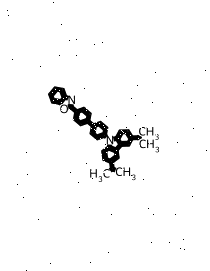 CC(C)c1ccc2c(c1)c1cc(C(C)C)ccc1n2-c1ccc(-c2ccc(-c3nc4ccccc4o3)cc2)cc1